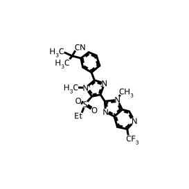 CCS(=O)(=O)c1c(-c2nc3cc(C(F)(F)F)ncc3n2C)nc(-c2cccc(C(C)(C)C#N)c2)n1C